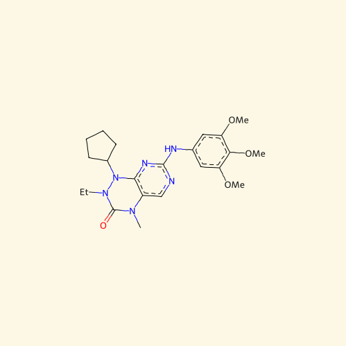 CCN1C(=O)N(C)c2cnc(Nc3cc(OC)c(OC)c(OC)c3)nc2N1C1CCCC1